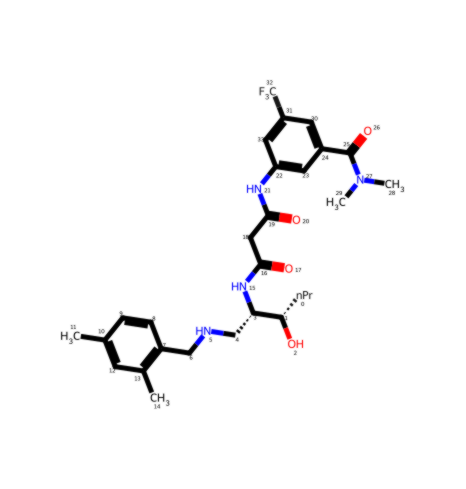 CCC[C@H](O)[C@H](CNCc1ccc(C)cc1C)NC(=O)CC(=O)Nc1cc(C(=O)N(C)C)cc(C(F)(F)F)c1